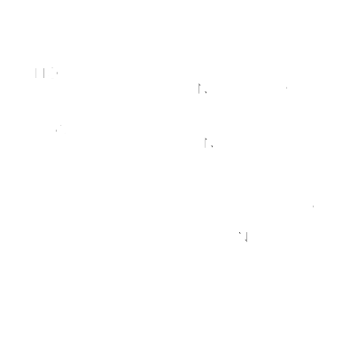 O=C(O)c1ccc(N2CCCOc3cc(C(=O)N4CCCCC4)cnc32)cc1